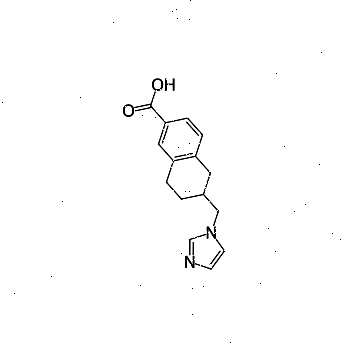 O=C(O)c1ccc2c(c1)CCC(Cn1ccnc1)C2